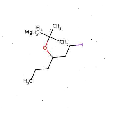 CCCC(CCI)OC(C)(C)C.[MgH2]